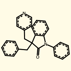 O=C1N(c2ccccc2)c2ccccc2C1(Cc1ccccc1)Cc1ccncc1